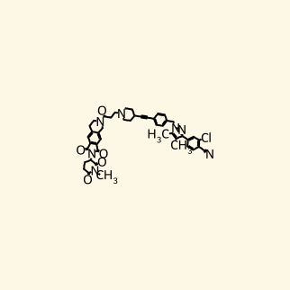 Cc1c(-c2ccc(C#N)c(Cl)c2)nn(Cc2ccc(C#CC3CCN(CCC(=O)N4CCc5cc6c(cc5C4)C(=O)N(C4CCC(=O)N(C)C4=O)C6=O)CC3)cc2)c1C